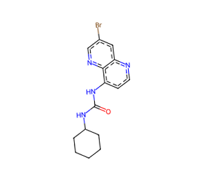 O=C(Nc1ccnc2cc(Br)cnc12)NC1CCCCC1